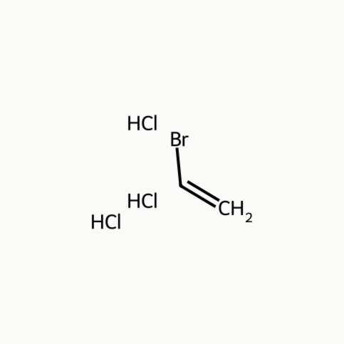 C=CBr.Cl.Cl.Cl